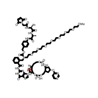 COCCOCCOCCOCCOCCOCCOCCOCCN(Cc1ccccc1C(=O)Nc1nc2c(ncn2[C@@H]2O[C@@H]3CCO[PH](=O)O[C@H]4C[C@H](Oc5ccncn5)CC4CO[P@@](=O)(S)O[C@@H]2[C@@H]3O)c(=O)[nH]1)C(=O)OCc1ccc(NC(=O)[C@H](C)NC(=O)[C@@H](NC(=O)CN2C(=O)C=CC2=O)C(C)C)cc1